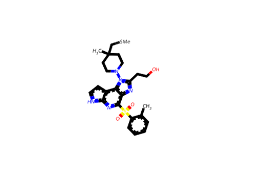 CSCC1(C)CCN(n2c(CCO)nc3c(S(=O)(=O)c4ccccc4C)nc4[nH]ccc4c32)CC1